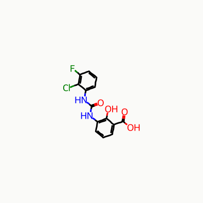 O=C(Nc1cccc(C(=O)O)c1O)Nc1cccc(F)c1Cl